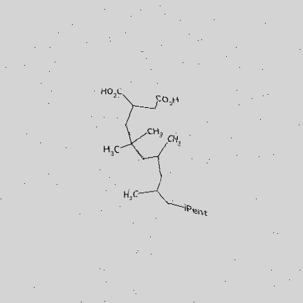 CCCC(C)CC(C)CC(C)CC(C)(C)CC(CC(=O)O)C(=O)O